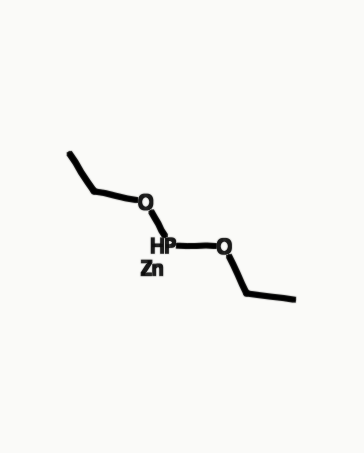 CCOPOCC.[Zn]